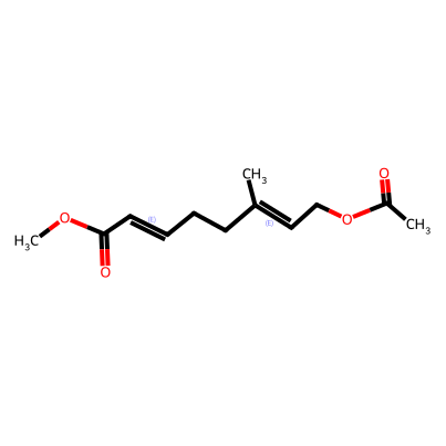 COC(=O)/C=C/CC/C(C)=C/COC(C)=O